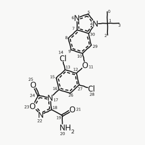 CC(C)(C)n1cnc2ccc(Oc3c(Cl)cc(-n4c(C(N)=O)noc4=O)cc3Cl)cc21